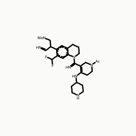 CNCC(C=N)c1cc2c(cc1C(F)F)N(C(=N)C1=C(NC3CCNCC3)CCN(C(C)=O)C1)CCC2